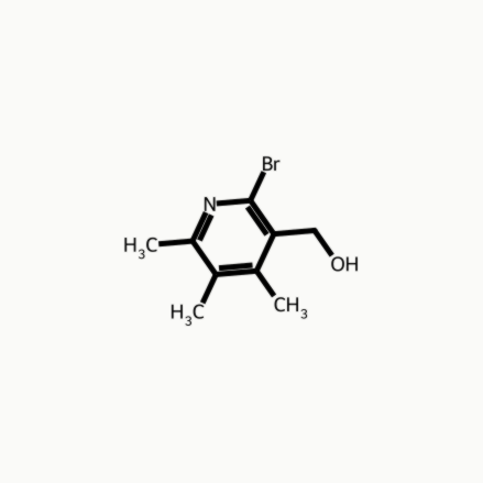 Cc1nc(Br)c(CO)c(C)c1C